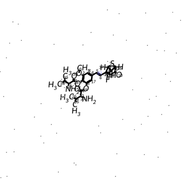 COc1cc(/C=C/C2=CC(=O)[C@H]3S[C@@H]2[C@@H]3CF)cc(OC(=O)C(N)C(C)C)c1OC(=O)C(N)C(C)C